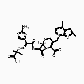 Cc1cc2c(C)cc[n+](CC3=C(C(=O)[O-])N4C(=O)C(NC(=O)C(=NOC(C)(C)C(=O)O)c5csc(N)n5)[C@@H]4SC3)c2o1